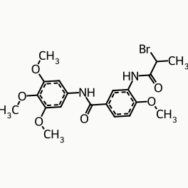 COc1ccc(C(=O)Nc2cc(OC)c(OC)c(OC)c2)cc1NC(=O)C(C)Br